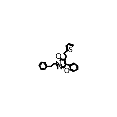 O=c1c(CCc2cccs2)c2c(nn1CCc1ccccc1)oc1ccccc12